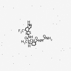 CC(C)(Nc1cccc(C(=O)NCCC(N)=O)c1)C(=O)Nc1nc2c(C(F)(F)F)cc3[nH]ncc3c2s1